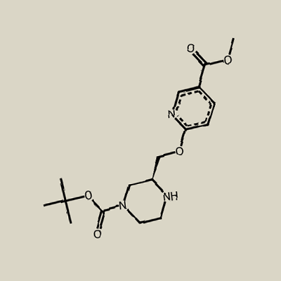 COC(=O)c1ccc(OC[C@@H]2CN(C(=O)OC(C)(C)C)CCN2)nc1